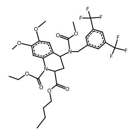 CCCCOC(=O)C1CC(N(Cc2cc(C(F)(F)F)cc(C(F)(F)F)c2)C(=O)OC)c2cc(OC)c(OC)cc2N1C(=O)OCC